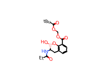 CCC(=O)NC1Cc2cccc(C(=O)OCOC(=O)C(C)(C)C)c2OB1O